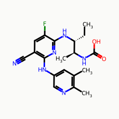 CC[C@@H](Nc1nc(Nc2cnc(C)c(C)c2)c(C#N)cc1F)[C@H](C)NC(=O)O